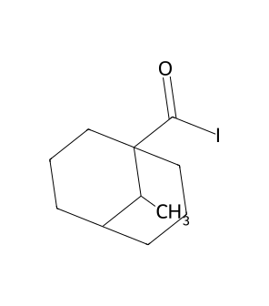 CC1C2CCCC1(C(=O)I)CCC2